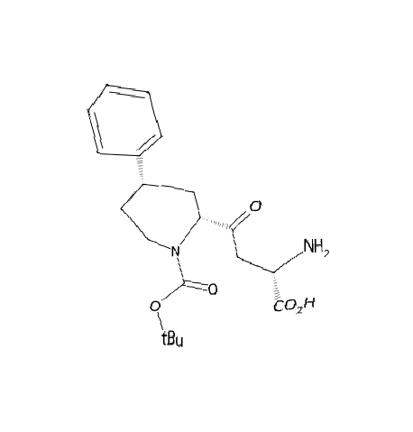 CC(C)(C)OC(=O)N1CC[C@H](c2ccccc2)C[C@@H]1C(=O)C[C@H](N)C(=O)O